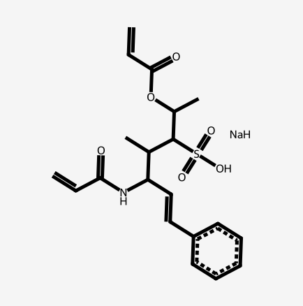 C=CC(=O)NC(C=Cc1ccccc1)C(C)C(C(C)OC(=O)C=C)S(=O)(=O)O.[NaH]